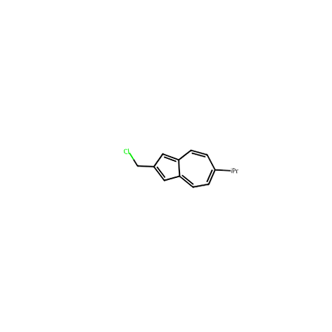 CC(C)c1ccc2cc(CCl)cc-2cc1